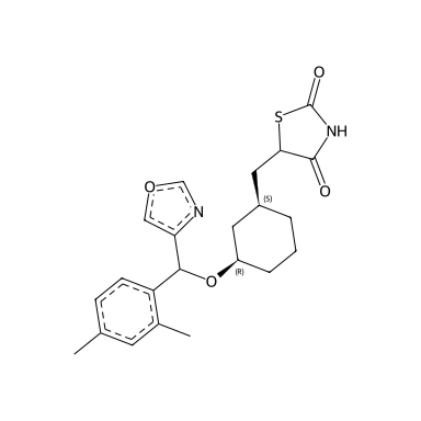 Cc1ccc(C(O[C@@H]2CCC[C@H](CC3SC(=O)NC3=O)C2)c2cocn2)c(C)c1